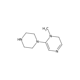 CN1CC=NC=C1N1CCNCC1